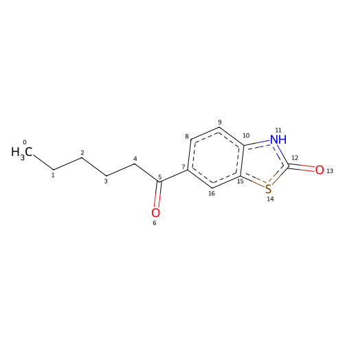 CCCCCC(=O)c1ccc2[nH]c(=O)sc2c1